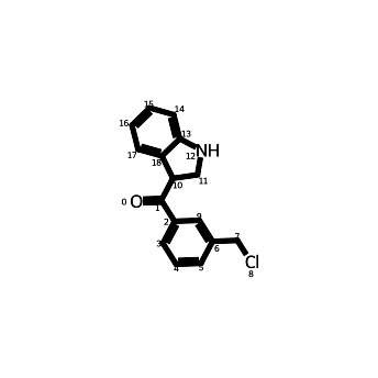 O=C(c1cccc(CCl)c1)C1CNc2ccccc21